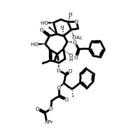 CCCC(=O)OCC(=O)O[C@@H](C(=O)O[C@H]1C[C@]2(O)[C@@H](OC(=O)c3ccccc3)[C@@H]3[C@]4(OC(C)=O)CO[C@@H]4C[C@H](O)[C@@]3(C)C(=O)[C@H](O)C(=C1C)C2(C)C)[C@@H](C)c1ccccc1